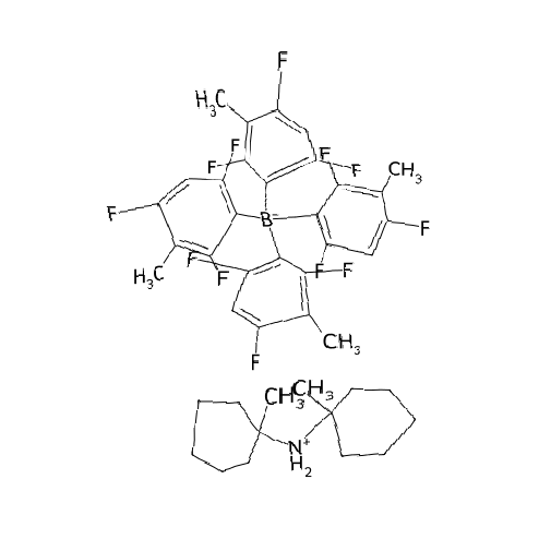 CC1([NH2+]C2(C)CCCCC2)CCCCC1.Cc1c(F)cc(F)c([B-](c2c(F)cc(F)c(C)c2F)(c2c(F)cc(F)c(C)c2F)c2c(F)cc(F)c(C)c2F)c1F